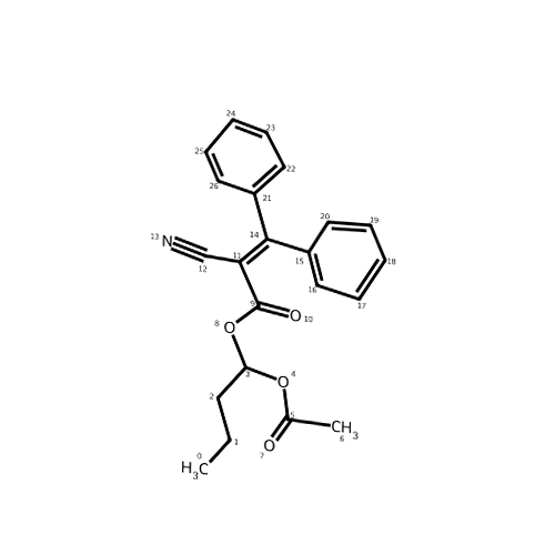 CCCC(OC(C)=O)OC(=O)C(C#N)=C(c1ccccc1)c1ccccc1